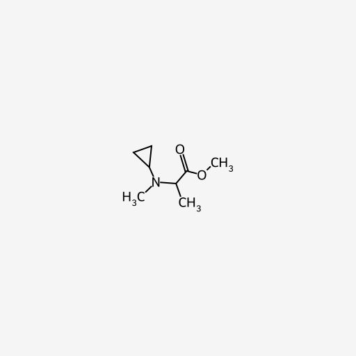 COC(=O)C(C)N(C)C1CC1